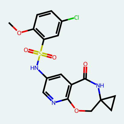 COc1ccc(Cl)cc1S(=O)(=O)Nc1cnc2c(c1)C(=O)NC1(CC1)CO2